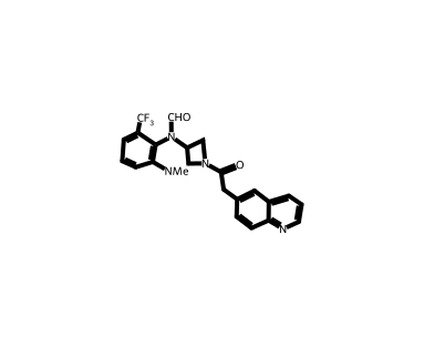 CNc1cccc(C(F)(F)F)c1N(C=O)C1CN(C(=O)Cc2ccc3ncccc3c2)C1